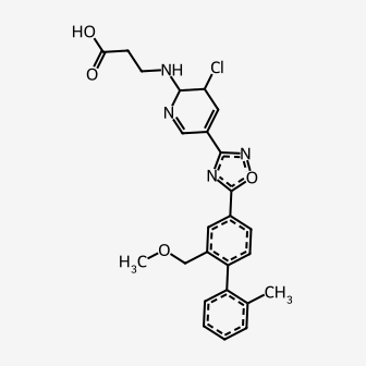 COCc1cc(-c2nc(C3=CC(Cl)C(NCCC(=O)O)N=C3)no2)ccc1-c1ccccc1C